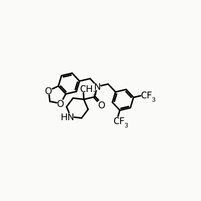 CC1(C(=O)N(Cc2cc(C(F)(F)F)cc(C(F)(F)F)c2)Cc2ccc3c(c2)OCO3)CCNCC1